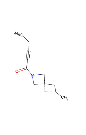 COCC#CC(=O)N1CC2(CC(C)C2)C1